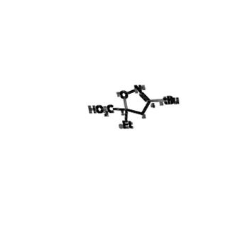 CCC1(C(=O)O)CC(C(C)(C)C)=NO1